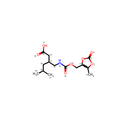 Cc1oc(=O)oc1COC(=O)NCC(CC(=O)O)CC(C)C